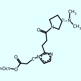 CCCCCCCCOC(=O)CCn1ccnc1CCC(=O)N1CC[C@H](N(C)C)C1